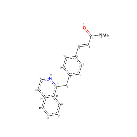 CNC(=O)/C=C/c1ccc(Cc2nccc3ccccc23)cc1